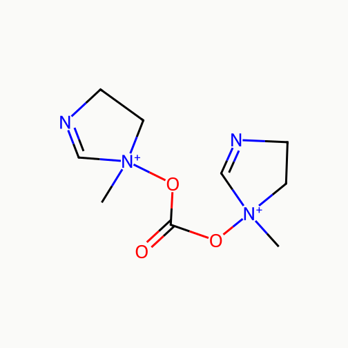 C[N+]1(OC(=O)O[N+]2(C)C=NCC2)C=NCC1